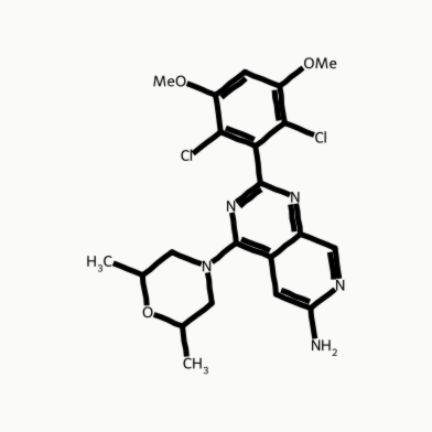 COc1cc(OC)c(Cl)c(-c2nc(N3CC(C)OC(C)C3)c3cc(N)ncc3n2)c1Cl